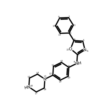 c1ccc(-c2cnc(Nc3ccc(N4CCNCC4)cc3)o2)cc1